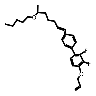 C=CCOc1ccc(-c2ccc(/C=C/CCCC(C)OCCCCC)cc2)c(F)c1F